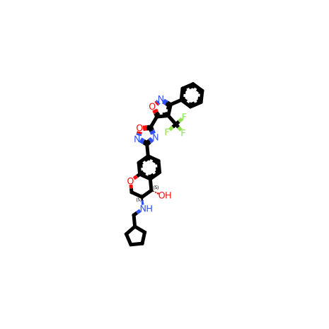 O[C@H]1c2ccc(-c3noc(-c4onc(-c5ccccc5)c4C(F)(F)F)n3)cc2OC[C@@H]1NCC1CCCC1